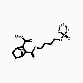 CCOP(=O)(OCC)OCCCCOC(=O)C1C2CCC(O2)C1C(=O)OC